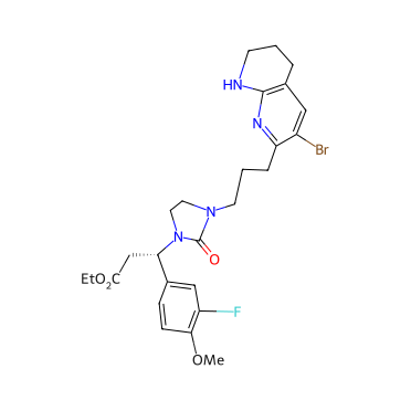 CCOC(=O)C[C@@H](c1ccc(OC)c(F)c1)N1CCN(CCCc2nc3c(cc2Br)CCCN3)C1=O